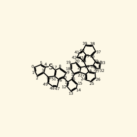 c1ccc2c(c1)Sc1ccc(-c3ccccc3-c3cccc4c3-c3ccccc3C43c4ccccc4-c4cccc5cccc3c45)c3cccc-2c13